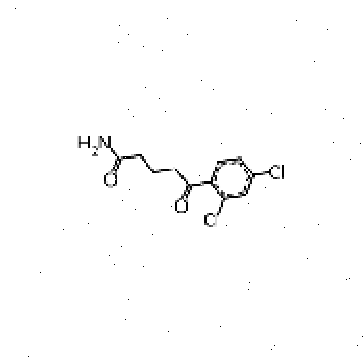 NC(=O)CCCC(=O)c1ccc(Cl)cc1Cl